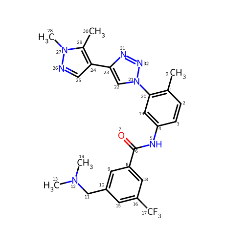 Cc1ccc(NC(=O)c2cc(CN(C)C)cc(C(F)(F)F)c2)cc1-n1cc(-c2cnn(C)c2C)nn1